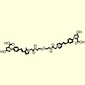 CC1C(/C=C/c2ccc(N3CC(O)CC3C(=O)O)cc2)=CC=[N+]1CC(=O)NCCSSCCNC(=O)C[n+]1ccc(/C=C/c2ccc(N3CC(O)CC3C(=O)O)cc2)cc1